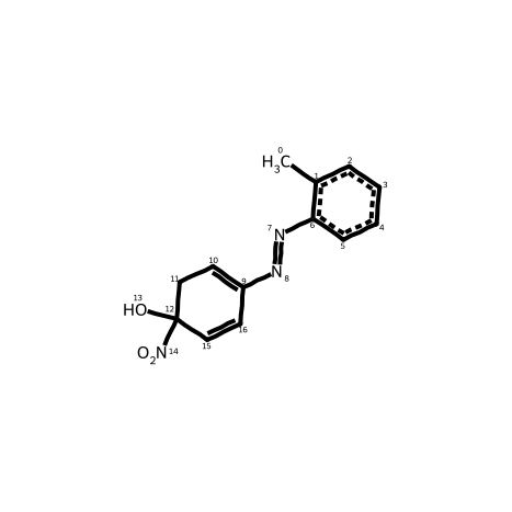 Cc1ccccc1N=NC1=CCC(O)([N+](=O)[O-])C=C1